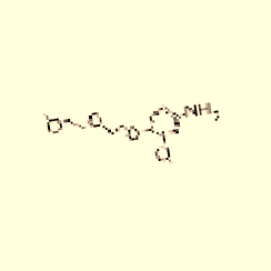 COCCOCCOc1ccc(N)cc1OC